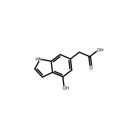 O=C(O)Cc1cc(O)c2cc[nH]c2c1